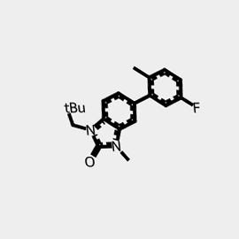 Cc1ccc(F)cc1-c1ccc2c(c1)n(C)c(=O)n2CC(C)(C)C